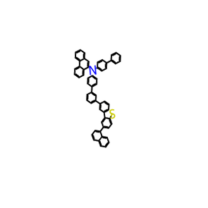 c1ccc(-c2ccc(N(c3ccc(-c4cccc(-c5ccc6sc7ccc(-c8cccc9ccccc89)cc7c6c5)c4)cc3)c3cc4ccccc4c4ccccc34)cc2)cc1